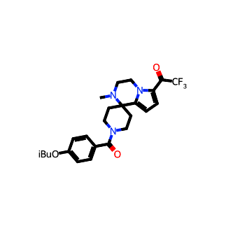 CC(C)COc1ccc(C(=O)N2CCC3(CC2)c2ccc(C(=O)C(F)(F)F)n2CCN3C)cc1